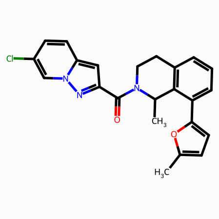 Cc1ccc(-c2cccc3c2C(C)N(C(=O)c2cc4ccc(Cl)cn4n2)CC3)o1